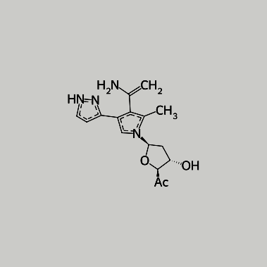 C=C(N)c1c(-c2cc[nH]n2)cn([C@H]2C[C@H](O)[C@@H](C(C)=O)O2)c1C